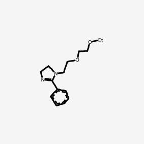 CCOCCOCCN1CCN=C1c1ccccc1